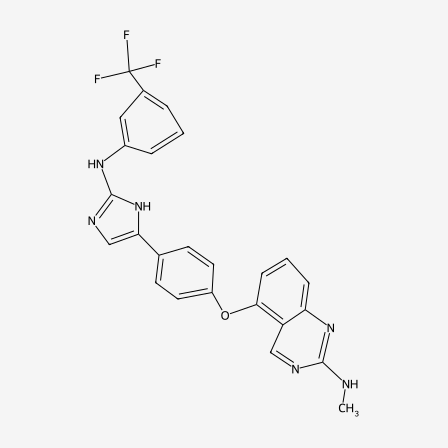 CNc1ncc2c(Oc3ccc(-c4cnc(Nc5cccc(C(F)(F)F)c5)[nH]4)cc3)cccc2n1